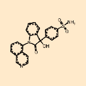 NS(=O)(=O)c1ccc(C2(O)C(=O)N(c3cccc4cnccc34)c3ccccc32)cc1